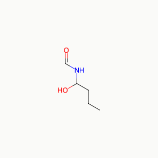 CCCC(O)NC=O